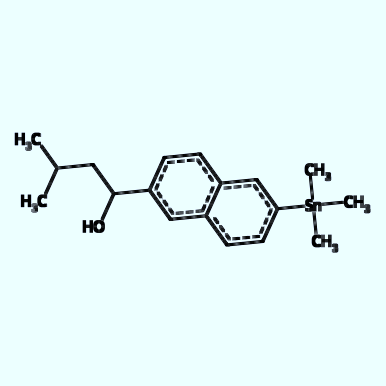 CC(C)CC(O)c1ccc2c[c]([Sn]([CH3])([CH3])[CH3])ccc2c1